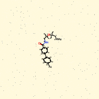 CNC[Si](C)(C)O[Si](C)(C)CNC(=O)c1ccc(-c2ccc(C(C)=O)cc2)cc1